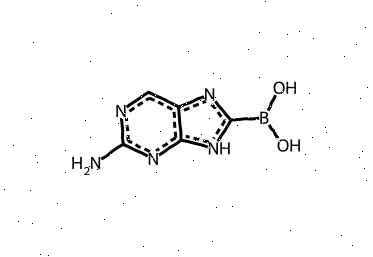 Nc1ncc2nc(B(O)O)[nH]c2n1